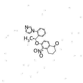 C[C@H](Oc1ccc2c(c1[N+](=O)[O-])CCCC2=O)c1ccccc1-n1ccnc1